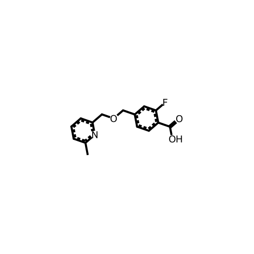 Cc1cccc(COCc2ccc(C(=O)O)c(F)c2)n1